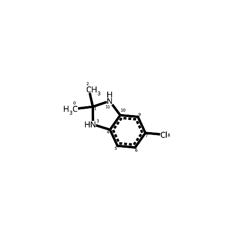 CC1(C)Nc2ccc(Cl)cc2N1